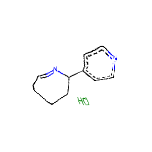 C1=NC(c2ccncc2)CCC1.Cl